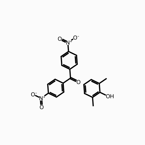 Cc1cccc(C)c1O.O=C(c1ccc([N+](=O)[O-])cc1)c1ccc([N+](=O)[O-])cc1